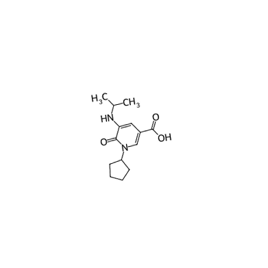 CC(C)Nc1cc(C(=O)O)cn(C2CCCC2)c1=O